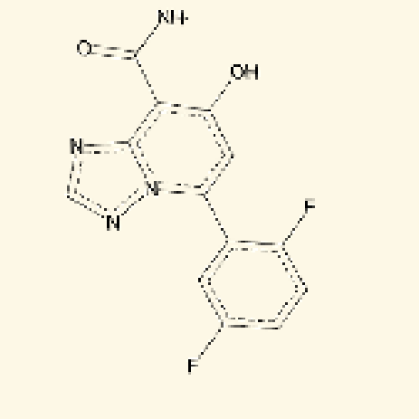 [NH]C(=O)c1c(O)cc(-c2cc(F)ccc2F)n2ncnc12